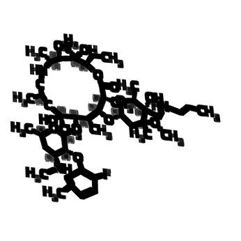 CCCNC[C@]1(O)[C@H](C)O[C@@H](O[C@H]2[C@H](C)[C@@H](O[C@@H]3O[C@H](C)C[C@H](NC)[C@H]3Oc3cc(C)ccc3F)[C@](C)(O)C[C@@H](C)CN[C@H](C)[C@@H](O)[C@](C)(O)[C@@H](CC)OC(=O)[C@@H]2C)C[C@@]1(C)OC